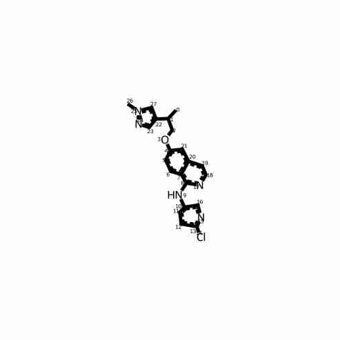 CC(COc1ccc2c(Nc3ccc(Cl)nc3)nccc2c1)c1cnn(C)c1